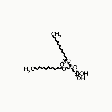 CCCCCCCCCCCCCC(=O)OCCN(CCOC(=O)CCCCCCCCCCCCC)C(=O)CN1CC(O)[C@@H](O)C1